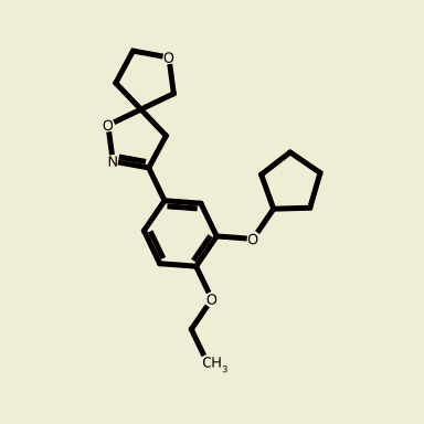 CCOc1ccc(C2=NOC3(CCOC3)C2)cc1OC1CCCC1